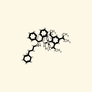 CC(C)c1cc(C(C)C)c(S(=O)(=O)N[C@@H](c2ccccc2)[C@H](NCCCC2=CCC=CC2)c2ccccc2)c(C(C)C)c1